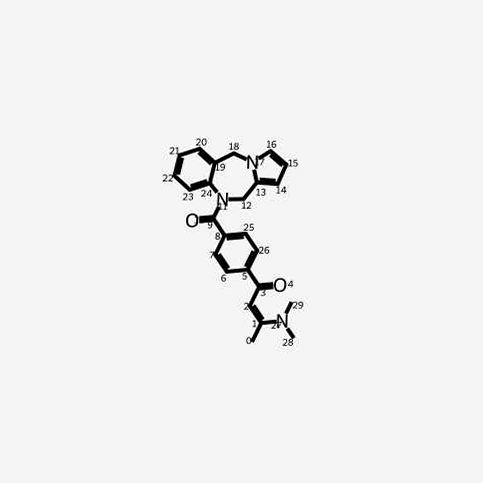 C/C(=C/C(=O)c1ccc(C(=O)N2Cc3cccn3Cc3ccccc32)cc1)N(C)C